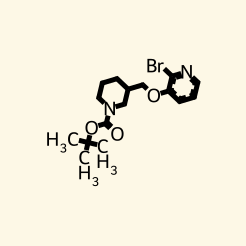 CC(C)(C)OC(=O)N1CCCC(COc2cccnc2Br)C1